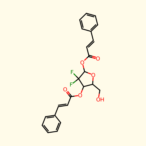 O=C(C=Cc1ccccc1)OC1OC(CO)C(OC(=O)C=Cc2ccccc2)C1(F)F